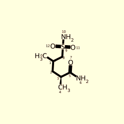 C[C](C[C@H](C)C(N)=O)CS(N)(=O)=O